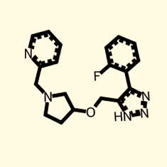 Fc1ccccc1-c1nn[nH]c1COC1CCN(Cc2ccccn2)C1